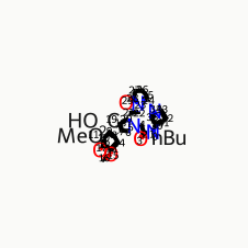 CCCCN(C(=O)CN1C[C@H](c2cc(OC)c3c(c2)OCO3)[C@@H](C(=O)O)[C@@H]1CCN1CCCCC1=O)c1cccnc1